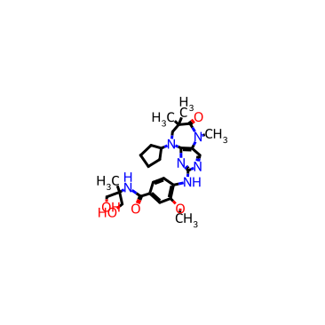 COc1cc(C(=O)NC(C)(CO)CO)ccc1Nc1ncc2c(n1)N(C1CCCC1)CC(C)(C)C(=O)N2C